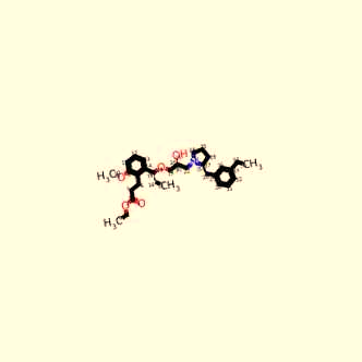 CCOC(=O)CCc1c(OC)cccc1[C@@H](CC)OC[C@H](O)CN1CCC[C@H]1Cc1cccc(CC)c1